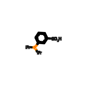 CC(C)P(c1cccc(S(=O)(=O)O)c1)C(C)C